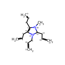 C=CCC1=C(CC=C)N(CC=C)C(CC=C)N1C